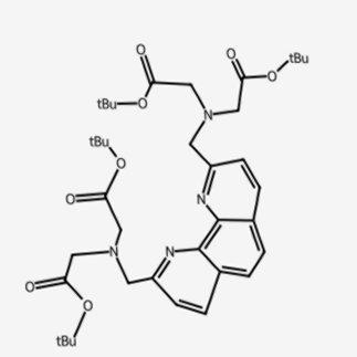 CC(C)(C)OC(=O)CN(CC(=O)OC(C)(C)C)Cc1ccc2ccc3ccc(CN(CC(=O)OC(C)(C)C)CC(=O)OC(C)(C)C)nc3c2n1